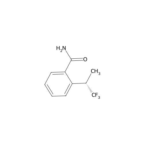 C[C@@H](c1ccccc1C(N)=O)C(F)(F)F